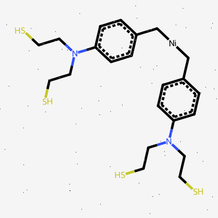 SCCN(CCS)c1ccc([CH2][Ni][CH2]c2ccc(N(CCS)CCS)cc2)cc1